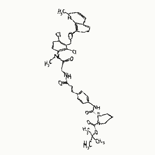 Cc1ccc2cccc(OCc3c(Cl)ccc(N(C)C(=O)CNC(=O)C=Cc4ccc(NC(=O)[C@@H]5CCCN5C(=O)OC(C)(C)C)cc4)c3Cl)c2n1